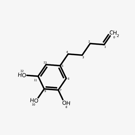 C=CCCCc1cc(O)c(O)c(O)c1